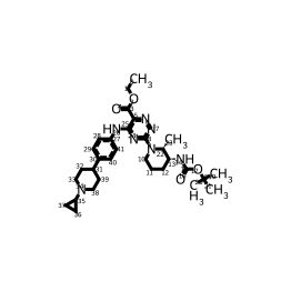 CCOC(=O)c1nnc(N2CCC[C@@H](NC(=O)OC(C)(C)C)[C@H]2C)nc1Nc1ccc(C2CCN(C3CC3)CC2)cc1